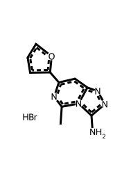 Br.Cc1nc(-c2ccco2)cc2nnc(N)n12